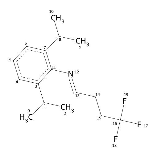 CC(C)c1cccc(C(C)C)c1N=CCCC(F)(F)F